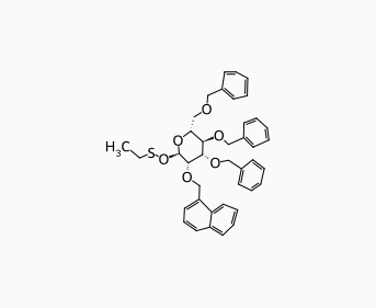 CCSO[C@H]1O[C@H](COCc2ccccc2)[C@@H](OCc2ccccc2)[C@H](OCc2ccccc2)[C@@H]1OCc1cccc2ccccc12